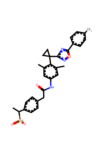 Cc1cc(NC(=O)Cc2ccc(C(C)[SH](=O)=O)cc2)cc(C)c1C1(c2noc(-c3ccc(C(F)(F)F)cc3)n2)CC1